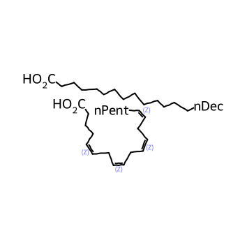 CCCCC/C=C\C/C=C\C/C=C\C/C=C\CCCC(=O)O.CCCCCCCCCCCCCCCCCCCCCCCC(=O)O